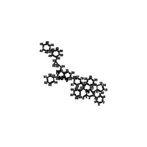 C=C1C=C(c2ccccc2)C(C2=CC=CCC2)=C2c3ccccc3C(c3ccc(-c4ccc(C(=C/C5CC5c5cccc(-c6ccccc6)c5)/N=C(\N)C5C=CC=CC5)cc4)cc3)=C(c3ccccc3)N12